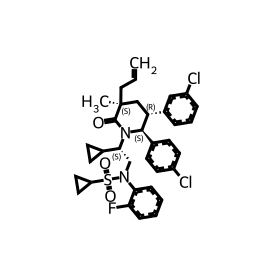 C=CC[C@@]1(C)C[C@H](c2cccc(Cl)c2)[C@@H](c2ccc(Cl)cc2)N([C@H](CN(c2ccccc2F)S(=O)(=O)C2CC2)C2CC2)C1=O